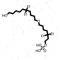 CCC(CC)(CCCCCO)CCCCOCCCCC(CC)(CC)CCOP(=O)(O)O